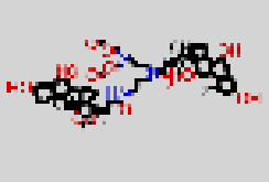 CC(CCC(=O)NCCCN(CCCN(COC=O)COC=O)C(=O)CCC(C)C1CCC2C3C(C[C@H](O)[C@]12C)[C@@]1(C)CC[C@@H](O)CC1C[C@H]3O)C1CCC2C3C(C[C@H](O)[C@]12C)[C@@]1(C)CC[C@@H](O)CC1C[C@H]3O